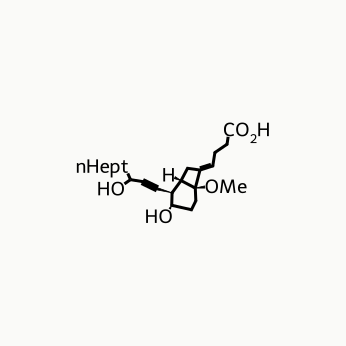 CCCCCCCC(O)C#C[C@@H]1[C@@H](O)CC[C@@]2(OC)C(=CCCC(=O)O)C[C@@H]12